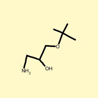 CC(C)(C)OCC(O)CN